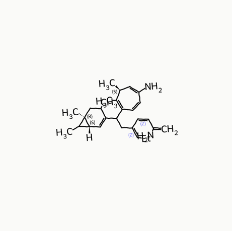 C=C(N)/C=C\C(=C/CC)CC(C1=C[C@@H]2C(C)[C@@]2(C)CC1C)C1=C(C)[C@@H](C)C=C(N)C=C1